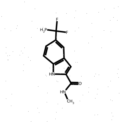 CNC(=O)c1cc2cc(C(F)(F)P)ccc2[nH]1